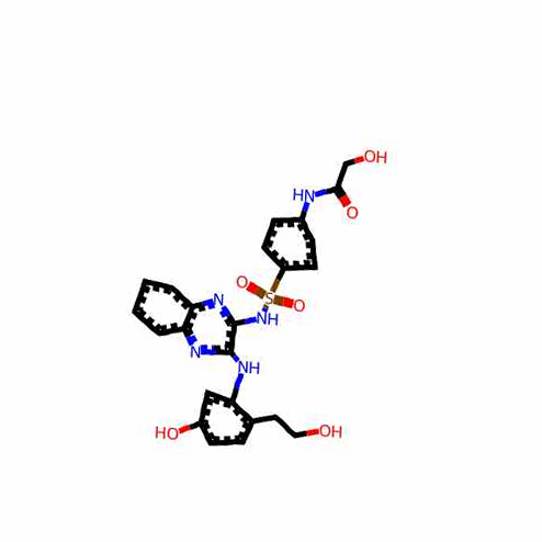 O=C(CO)Nc1ccc(S(=O)(=O)Nc2nc3ccccc3nc2Nc2cc(O)ccc2CCO)cc1